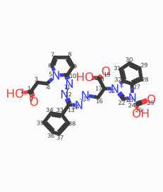 O=C(O)CCn1ccccc1=NN=C(N=NCC(C(=O)O)[n+]1cn(C(=O)O)c2ccccc21)c1ccccc1